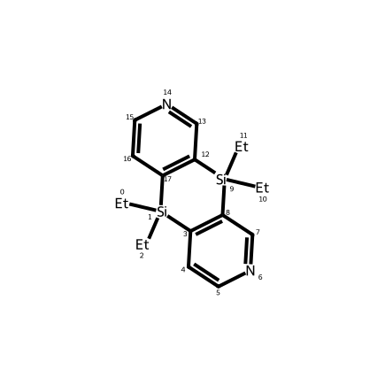 CC[Si]1(CC)c2ccncc2[Si](CC)(CC)c2cnccc21